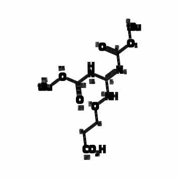 CC(C)(C)OC(=O)/N=C(/NOCCC(=O)O)NC(=O)OC(C)(C)C